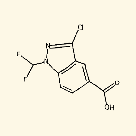 O=C(O)c1ccc2c(c1)c(Cl)nn2C(F)F